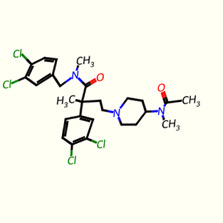 CC(=O)N(C)C1CCN(CCC(C)(C(=O)N(C)Cc2ccc(Cl)c(Cl)c2)c2ccc(Cl)c(Cl)c2)CC1